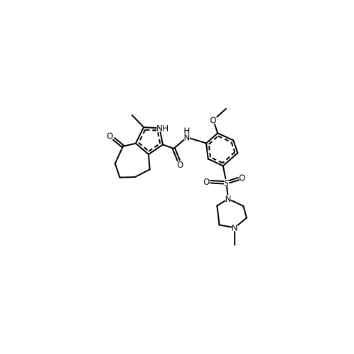 COc1ccc(S(=O)(=O)N2CCN(C)CC2)cc1NC(=O)c1[nH]c(C)c2c1CCCCC2=O